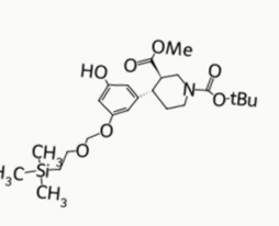 COC(=O)[C@H]1CN(C(=O)OC(C)(C)C)CC[C@@H]1c1cc(O)cc(OCOCC[Si](C)(C)C)c1